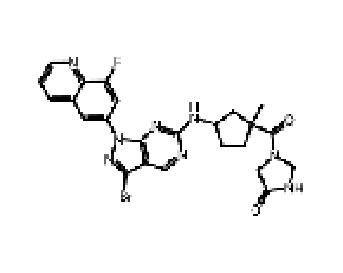 CC1(C(=O)N2CNC(=O)C2)CC[C@@H](Nc2ncc3c(Br)nn(-c4cc(F)c5ncccc5c4)c3n2)C1